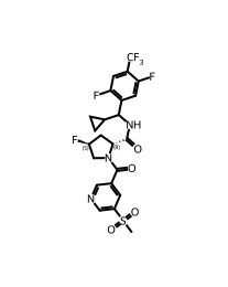 CS(=O)(=O)c1cncc(C(=O)N2C[C@@H](F)C[C@@H]2C(=O)NC(c2cc(F)c(C(F)(F)F)cc2F)C2CC2)c1